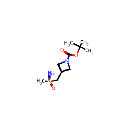 CC(C)(C)OC(=O)N1CC(CS(C)(=N)=O)C1